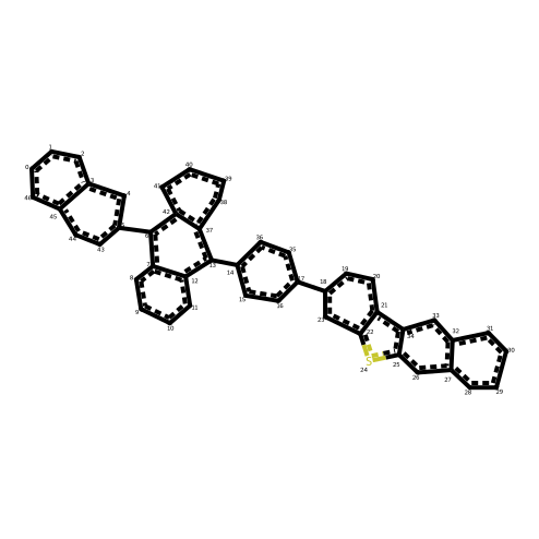 c1ccc2cc(-c3c4ccccc4c(-c4ccc(-c5ccc6c(c5)sc5cc7ccccc7cc56)cc4)c4ccccc34)ccc2c1